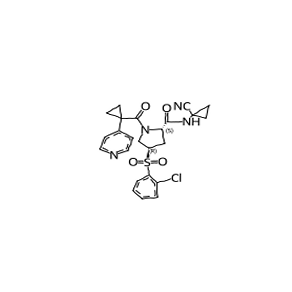 N#CC1(NC(=O)[C@@H]2C[C@@H](S(=O)(=O)c3ccccc3Cl)CN2C(=O)C2(c3ccncc3)CC2)CC1